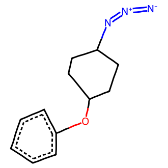 [N-]=[N+]=NC1CCC(Oc2ccccc2)CC1